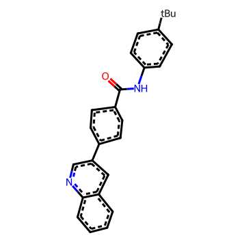 CC(C)(C)c1ccc(NC(=O)c2ccc(-c3cnc4ccccc4c3)cc2)cc1